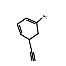 C#CC1C=CC=C(C(C)=O)C1